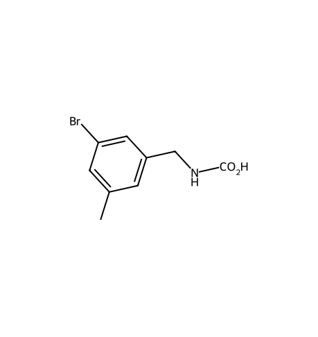 Cc1cc(Br)cc(CNC(=O)O)c1